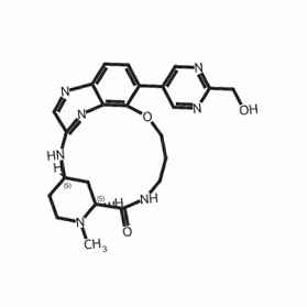 CN1CC[C@H]2C[C@H]1C(=O)NCCCOc1c(-c3cnc(CO)nc3)ccc3ncc(nc13)N2